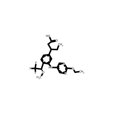 CCOc1ncc(Nc2cc(C(CC)CC(=O)O)ccc2[C@@H](OC)C(F)(F)F)cn1